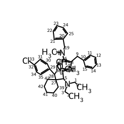 CCN(CC)C(c1nc(Cc2ccccc2)c(N(C)Cc2ccccc2)o1)C1(C(c2ccc(Cl)cc2)N(C)C)CCCCC1